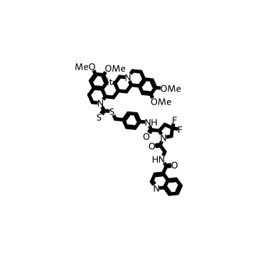 CCC1CN2CCc3cc(OC)c(OC)cc3C2CC1CC1c2cc(OC)c(OC)cc2CCN1C(=S)SCc1ccc(NC(=O)C2CC(F)(F)CN2C(=O)CNC(=O)c2ccnc3ccccc23)cc1